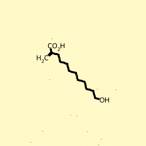 C=C(CCCCCCCCCCO)C(=O)O